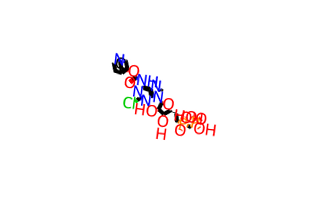 O=C(Nc1nc(Cl)nc2c1ncn2[C@@H]1O[C@H](CCP(=O)(O)CP(=O)(O)O)C(O)C1O)OC1CN2CCC1CC2